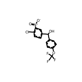 O=[N+]([O-])c1cc(C(O)c2ccc(OC(F)(F)F)cc2)ccc1Cl